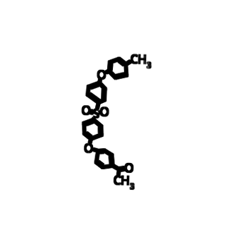 CC(=O)c1ccc(Oc2ccc(S(=O)(=O)c3ccc(Oc4ccc(C)cc4)cc3)cc2)cc1